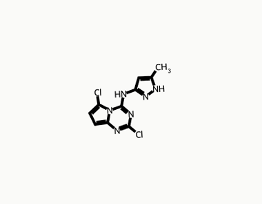 Cc1cc(Nc2nc(Cl)nc3ccc(Cl)n23)n[nH]1